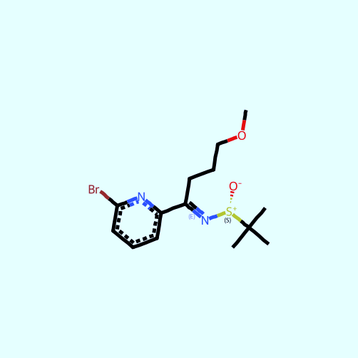 COCCC/C(=N\[S@+]([O-])C(C)(C)C)c1cccc(Br)n1